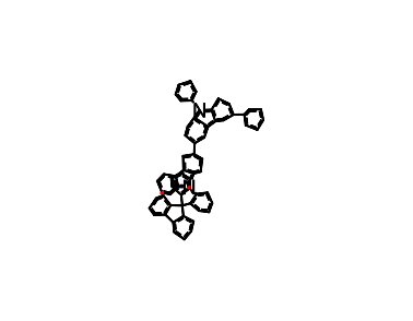 c1ccc(-c2ccc3c(c2)c2cc(-c4ccc5c(c4)c4ccccc4n5-c4ccccc4C4(c5ccccc5)c5ccccc5-c5ccccc54)ccc2n3-c2ccccc2)cc1